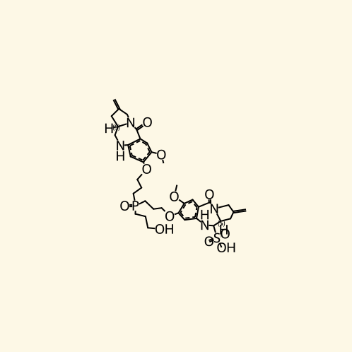 C=C1C[C@H]2CNc3cc(OCCCP(=O)(CCCO)CCCOc4cc5c(cc4OC)C(=O)N4CC(=C)C[C@H]4C(S(=O)(=O)O)N5)c(OC)cc3C(=O)N2C1